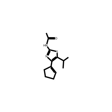 CC(=O)Nc1nc(C2=CCCC2)c(C(C)C)s1